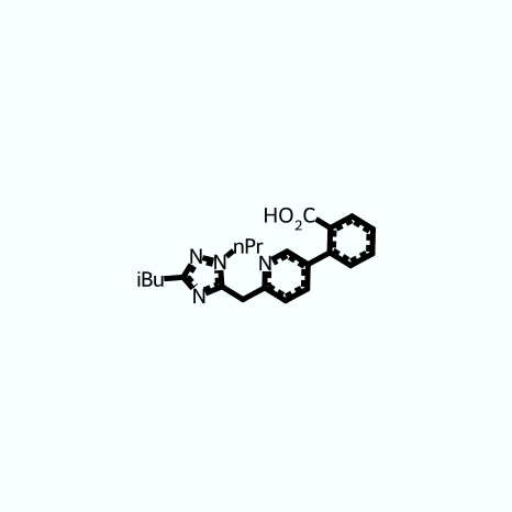 CCCn1nc(C(C)CC)nc1Cc1ccc(-c2ccccc2C(=O)O)cn1